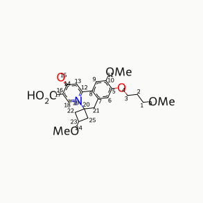 COCCCOc1cc2c(cc1OC)-c1cc(=O)c(C(=O)O)cn1C1(C2)CC(OC)C1